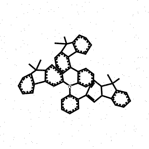 CC1(C)c2ccccc2-c2cc(N(c3ccccc3C3=CC4c5ccccc5C(C)(C)C4C=C3)c3ccccc3-c3cccc4c3-c3ccccc3C4(C)C)ccc21